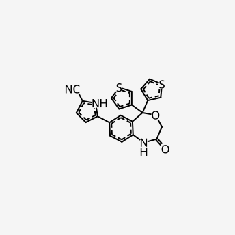 N#Cc1ccc(-c2ccc3c(c2)C(c2ccsc2)(c2ccsc2)OCC(=O)N3)[nH]1